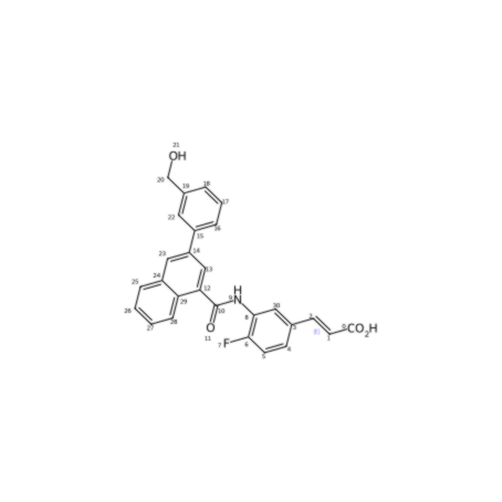 O=C(O)/C=C/c1ccc(F)c(NC(=O)c2cc(-c3cccc(CO)c3)cc3ccccc23)c1